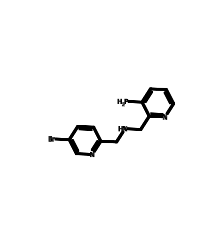 Pc1cccnc1CNCc1ccc(Br)cn1